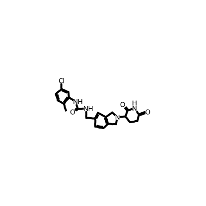 Cc1ccc(Cl)cc1NC(=O)NCc1ccc2c(c1)CN(C1CCC(=O)NC1=O)C2